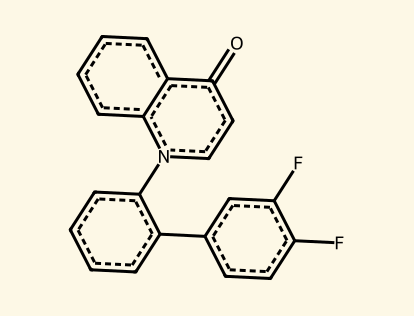 O=c1ccn(-c2ccccc2-c2ccc(F)c(F)c2)c2ccccc12